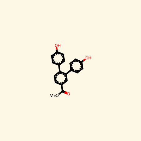 COC(=O)c1ccc(-c2ccc(O)cc2)c(-c2ccc(O)cc2)c1